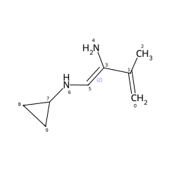 C=C(C)/C(N)=C/NC1CC1